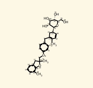 CC1=C(Cc2ccc(OCC3(C)Cc4cccc(C)c4O3)cc2)CC([C@@H]2O[C@H](CO)[C@@H](O)[C@H](O)[C@H]2O)C=C1